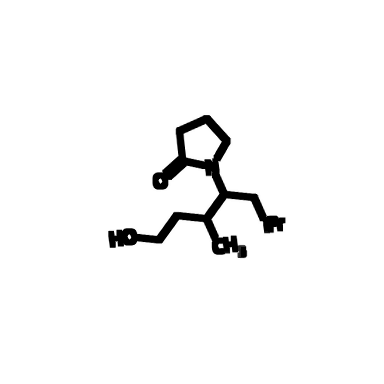 CC(C)CC(C(C)CCO)N1CCCC1=O